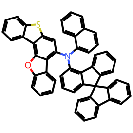 c1ccc2c(c1)-c1ccccc1C21c2ccccc2-c2c(N(c3cccc4ccccc34)c3cc4sc5ccccc5c4c4oc5ccccc5c34)cccc21